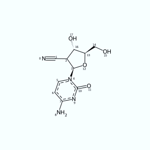 N#CC1[C@H](n2ccc(N)nc2=O)O[C@H](CO)[C@H]1O